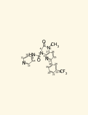 CN1C(=O)CN(C(=O)Nc2ccncc2)c2nc(-c3cccc(C(F)(F)F)c3)ccc21